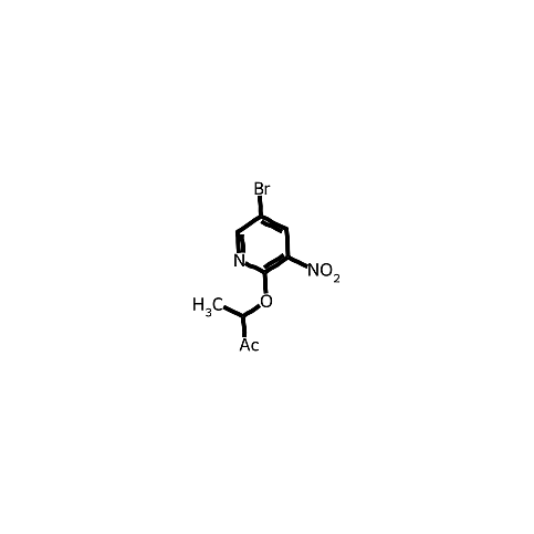 CC(=O)C(C)Oc1ncc(Br)cc1[N+](=O)[O-]